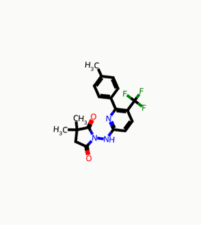 Cc1ccc(-c2nc(NN3C(=O)CC(C)(C)C3=O)ccc2C(F)(F)F)cc1